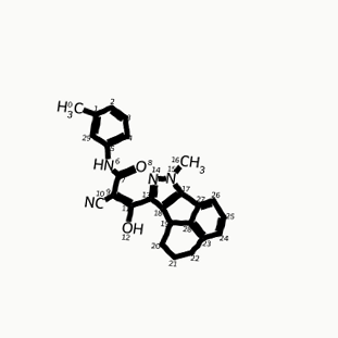 Cc1cccc(NC(=O)C(C#N)=C(O)c2nn(C)c3c2C2CCCc4cccc-3c42)c1